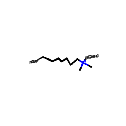 CCCCCCCCCCCCCCCCC[N+](C)(C)CCCCCCCCCC